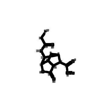 COC(=O)C1C2CC3C(OC(=O)C31)C2OC(=O)CF